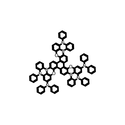 c1ccc(N(c2ccccc2)c2cc3c4c(c2)N(c2ccccc2)c2ccccc2B4c2ccc4c5c6c(ccc5c5c7c(ccc5c4c2O3)B2c3ccccc3N(c3ccccc3)c3cc(N(c4ccccc4)c4ccccc4)cc(c32)O7)B2c3ccccc3N(c3ccccc3)c3cccc(c32)O6)cc1